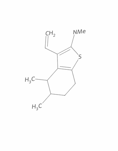 C=Cc1c(NC)sc2c1C(C)C(C)CC2